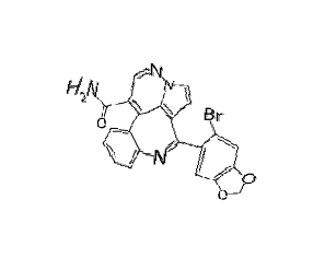 NC(=O)c1cnn2ccc3c2c1-c1ccccc1N=C3c1cc2c(cc1Br)OCO2